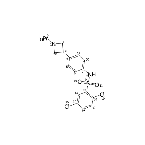 CCCN1CC(c2ccc(NS(=O)(=O)c3cc(Cl)ccc3Cl)cc2)C1